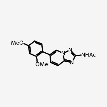 COc1ccc(-c2ccc3nc(NC(C)=O)nn3c2)c(OC)c1